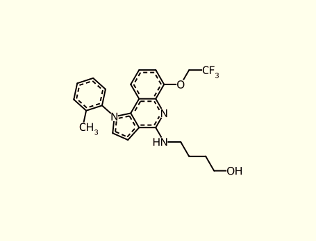 Cc1ccccc1-n1ccc2c(NCCCCO)nc3c(OCC(F)(F)F)cccc3c21